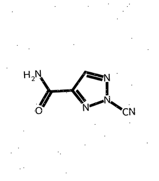 N#Cn1ncc(C(N)=O)n1